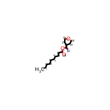 CCCCCCCCCC(=O)OC(I)C1CCOCC1